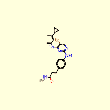 C=C(/C=C(\C)C1CC1)Nc1nc(Nc2ccc(CCC(=O)NC(C)C)cc2)ncc1Br